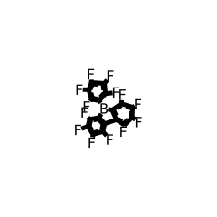 Fc1c(F)c(F)c(B2c3c(F)c(F)c(F)c(F)c3-c3c(F)c(F)c(F)c(F)c32)c(F)c1F